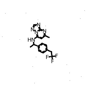 Cc1cc(NC(C)c2ccc(CC(F)(F)F)cc2)n2ncnc2n1